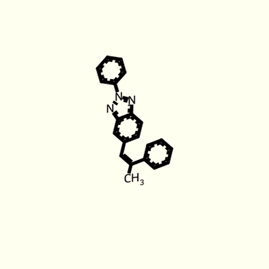 C/C(=C/c1ccc2nn(-c3ccccc3)nc2c1)c1ccccc1